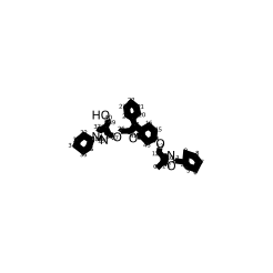 Cc1oc(-c2ccccc2)nc1COc1ccc2c(-c3ccccc3)c(COc3nn(-c4ccccc4)cc3CO)oc2c1